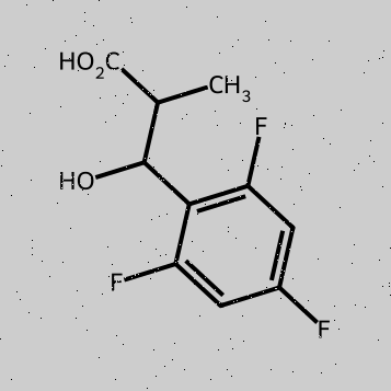 CC(C(=O)O)C(O)c1c(F)cc(F)cc1F